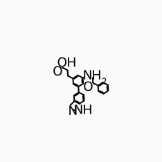 CC(Oc1c(N)cc(CCC(=O)O)cc1-c1ccc2[nH]ncc2c1)c1ccccc1